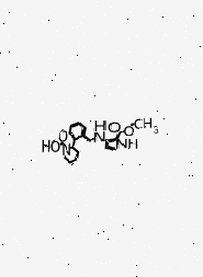 CCOC(=O)c1[nH]ccc1NCc1ccccc1C1CCCCN1C(=O)O